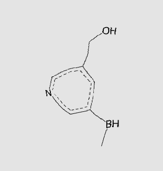 CBc1cncc(CO)c1